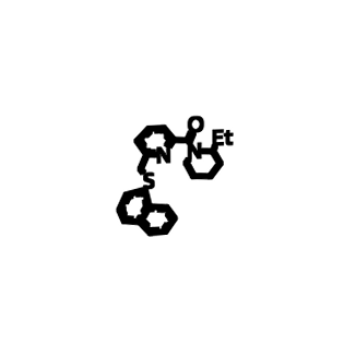 CCC1CCCCN1C(=O)c1cccc(CSc2cccc3ccccc23)n1